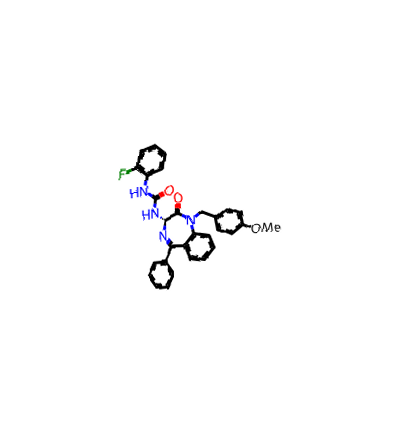 COc1ccc(CN2C(=O)[C@@H](NC(=O)Nc3ccccc3F)N=C(c3ccccc3)c3ccccc32)cc1